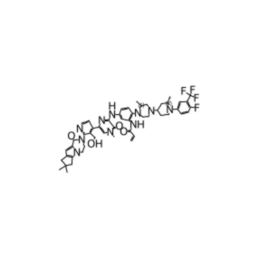 C=CC(=O)Nc1cc(Nc2nc(-c3ccnc(N4CCn5c(cc6c5CC(C)(C)C6)C4=O)c3CO)cn(C)c2=O)ccc1N1CCN(C2CCN(c3ccc(F)c(C(F)(F)F)c3)[C@H](C)C2)C[C@@H]1C